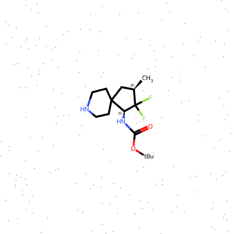 C[C@@H]1CC2(CCNCC2)[C@H](NC(=O)OC(C)(C)C)C1(F)F